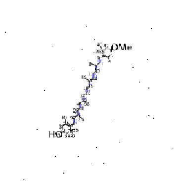 COC1CC(C)=C(/C=C/C(C)=C/C=C/C(C)=C/C=C/C=C(C)/C=C/C=C(C)/C=C/C2=C(C)CC(O)CC2(C)C)C(C)(C)C1